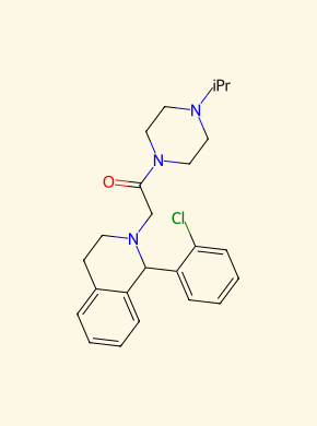 CC(C)N1CCN(C(=O)CN2CCc3ccccc3C2c2ccccc2Cl)CC1